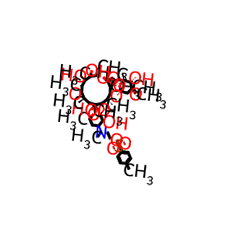 CC[C@H]1OC(=O)[C@H](C)[C@@H](O[C@H]2C[C@@](C)(OC)[C@@H](O)[C@H](C)O2)[C@H](C)[C@@H](O[C@@H]2O[C@H](C)C[C@H](N(C)CCOS(=O)(=O)c3ccc(C)cc3)[C@H]2O)[C@](C)(O)C[C@@H](C)C(=O)[C@H](C)[C@@H](O)[C@]1(C)O